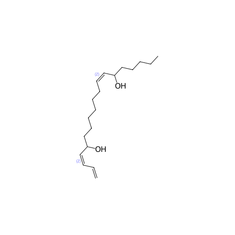 C=C/C=C\C(O)CCCCCC/C=C\C(O)CCCCC